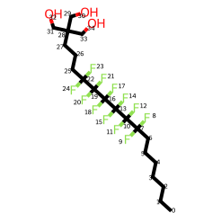 CCCCCCCC(F)(F)C(F)(F)C(F)(F)C(F)(F)C(F)(F)C(F)(F)CCCC(CO)(CO)CO